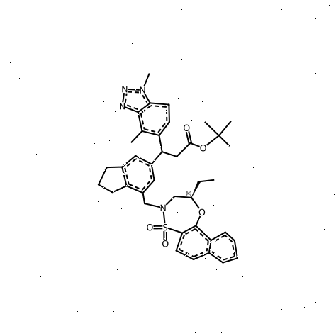 CC[C@@H]1CN(Cc2cc(C(CC(=O)OC(C)(C)C)c3ccc4c(nnn4C)c3C)cc3c2CCC3)S(=O)(=O)c2ccc3ccccc3c2O1